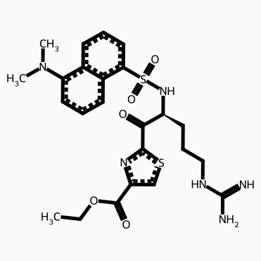 CCOC(=O)c1csc(C(=O)[C@H](CCCNC(=N)N)NS(=O)(=O)c2cccc3c(N(C)C)cccc23)n1